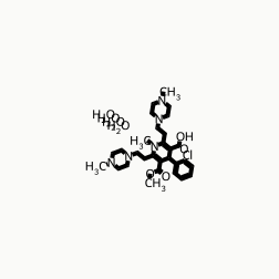 COC(=O)C1=C(CCN2CCN(C)CC2)N(C)C(CCN2CCN(C)CC2)=C(C(=O)O)C1c1ccccc1Cl.O.O.O.O